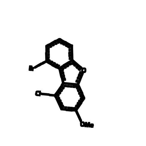 COc1cc(Cl)c2c(c1)oc1cccc(Br)c12